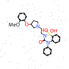 COc1ccccc1OC1CCN(CCN2C(=O)N(c3ccccc3)c3ccccc3S2(O)O)C1